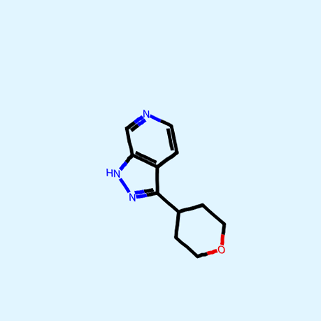 c1cc2c(C3CCOCC3)n[nH]c2cn1